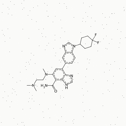 CN(C)CCN(C)c1cc(-c2ccc3c(c2)ncn3C2CCC(F)(F)CC2)c2nc[nH]c2c1C(N)=O